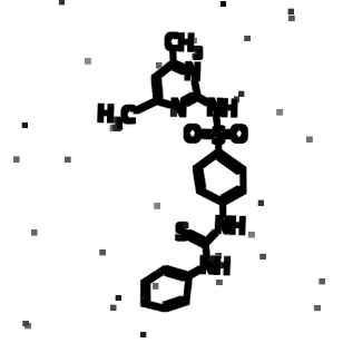 Cc1cc(C)nc(NS(=O)(=O)c2ccc(NC(=S)Nc3ccccc3)cc2)n1